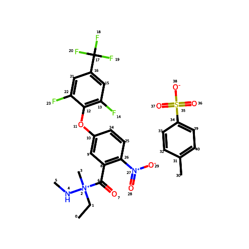 CC[N+](C)(NC)C(=O)c1cc(Oc2c(F)cc(C(F)(F)F)cc2F)ccc1[N+](=O)[O-].Cc1ccc(S(=O)(=O)[O-])cc1